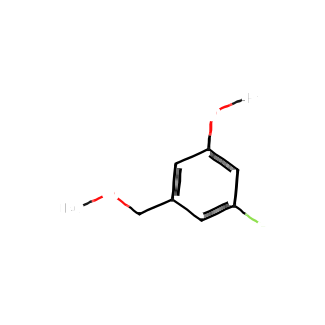 CC(C)Oc1cc(F)cc(COC(C)(C)C)c1